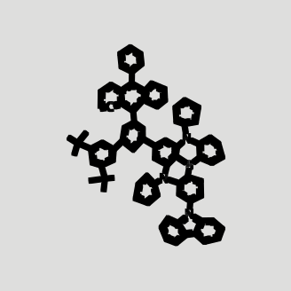 CC(C)(C)c1cc(-c2cc(-c3cc4c5c(c3)N(c3ccccc3)c3cc(-n6c7ccccc7c7ccccc76)ccc3B5c3ccccc3N4c3ccccc3)cc(-c3c4ccccc4c(-c4ccccc4)c4ccccc34)c2)cc(C(C)(C)C)c1